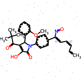 C=C/C=C\C=C(/N=O)c1ccc(N2C(=O)C(O)=C(C(=O)C(C)(C)C)C2c2ccccc2OC)cc1